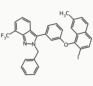 Cc1ccc2ccc(I)c(Oc3cccc(-c4c5cccc(C(F)(F)F)c5nn4Cc4ccccc4)c3)c2c1